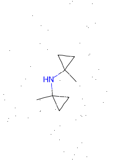 CC1(NC2(C)CC2)CC1